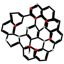 FC(F)(F)c1c(N2C(c3ccccc3)=CSc3ccccc32)nc(N2C(c3ccccc3)=CSc3ccccc32)c(N2C(c3ccccc3)=CSc3ccccc32)c1N1C(c2ccccc2)=CSc2ccccc21